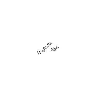 [Nb+5].[S-2].[S-2].[W+4]